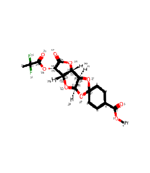 CC(C)OC(=O)C1CCC2(CC1)O[C@H]1O[C@H]3[C@H](OC(=O)[C@H]3OC(=O)C(C)(F)F)[C@H]1O2